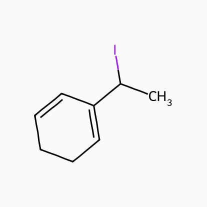 CC(I)C1=CCCC=C1